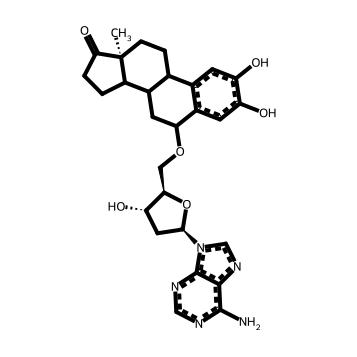 C[C@]12CCC3c4cc(O)c(O)cc4C(OC[C@H]4O[C@@H](n5cnc6c(N)ncnc65)C[C@@H]4O)CC3C1CCC2=O